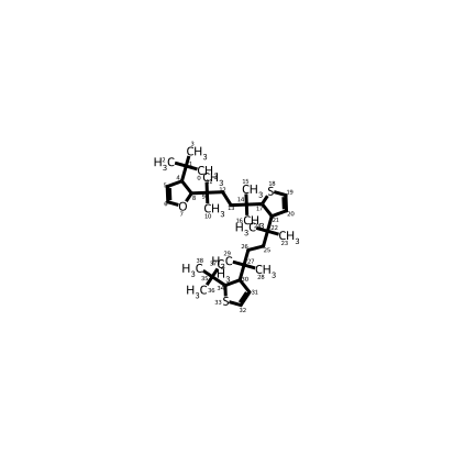 CC(C)(C)C1C=COC1C(C)(C)CCC(C)(C)C1SC=CC1C(C)(C)CCC(C)(C)C1C=CSC1C(C)(C)C